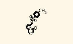 Cc1ccc(S(=O)(=O)OCC2CCC3COCC(=O)N32)cc1